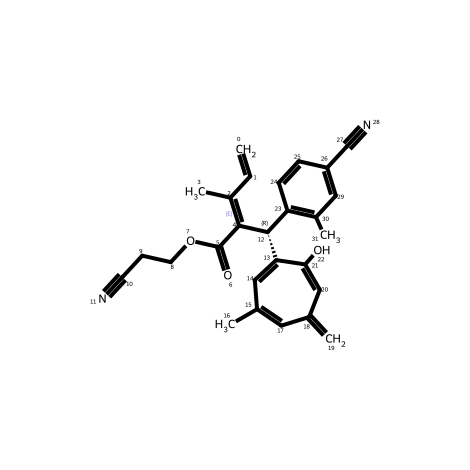 C=C/C(C)=C(/C(=O)OCCC#N)[C@@H](C1=CC(C)=CC(=C)C=C1O)c1ccc(C#N)cc1C